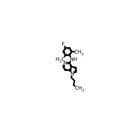 CCCCn1ccc2c(Nc3c(C)cc(F)cc3C)nccc21